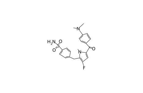 CN(C)c1ccc(C(=O)c2cc(F)c(Cc3ccc(S(N)(=O)=O)cc3)n2C)cc1